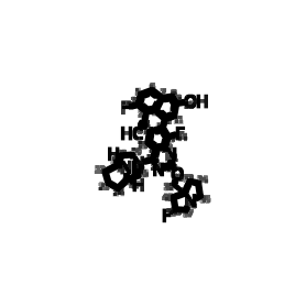 C#Cc1c(F)ccc2cc(O)cc(-c3ccc4c(N5CC[C@H]6CCC[C@@H](C5)N6)nc(OC[C@@]56CCCN5C[C@H](F)C6)nc4c3F)c12